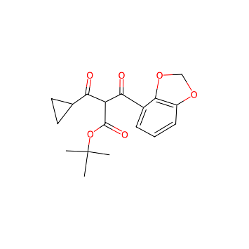 CC(C)(C)OC(=O)C(C(=O)c1cccc2c1OCO2)C(=O)C1CC1